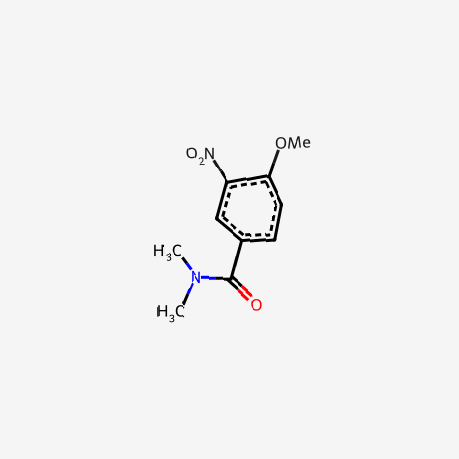 COc1ccc(C(=O)N(C)C)cc1[N+](=O)[O-]